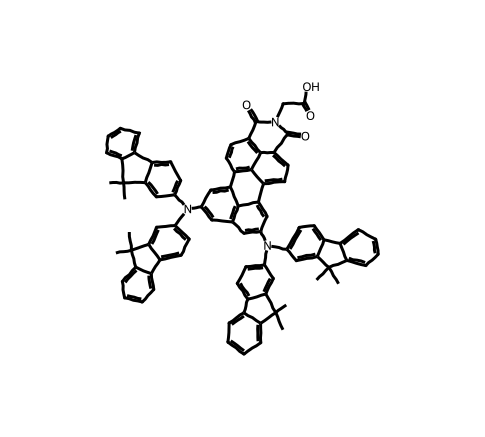 CC1(C)c2ccccc2-c2ccc(N(c3ccc4c(c3)C(C)(C)c3ccccc3-4)c3cc4cc(N(c5ccc6c(c5)C(C)(C)c5ccccc5-6)c5ccc6c(c5)C(C)(C)c5ccccc5-6)cc5c6ccc7c8c(ccc(c(c3)c45)c86)C(=O)N(CC(=O)O)C7=O)cc21